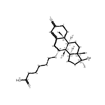 C[C@]12CCC(=O)C=C1C[C@@H](CCCCCCC(=O)O)[C@@H]1[C@@H]2CC[C@@]2(C)[C@H]1CC[C@]2(C)O